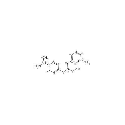 C[C@H](N)c1ccc(CN2CCc3c(cccc3C(F)(F)F)C2)cc1